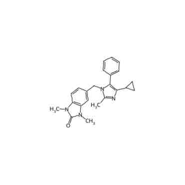 Cc1nc(C2CC2)c(-c2ccccc2)n1Cc1ccc2c(c1)n(C)c(=O)n2C